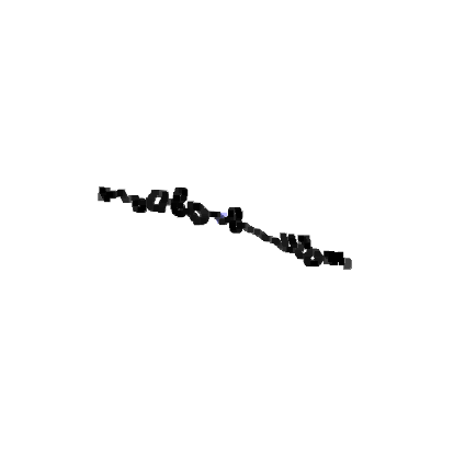 N#CCCCOc1ccc(C(=O)Oc2ccc(/C=C/C(=O)OCCCCCCCCc3ccc(N)cc3N)cc2)cc1